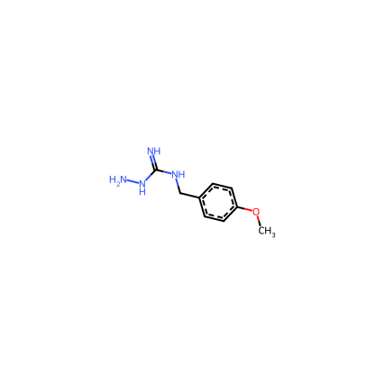 COc1ccc(CNC(=N)NN)cc1